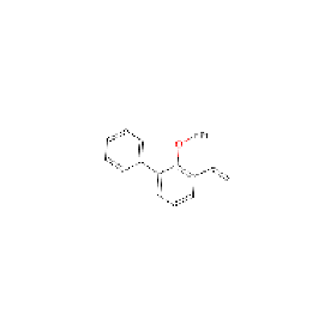 C=Cc1cccc(-c2ccccc2)c1OCCC